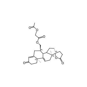 CC(=O)OCC(=O)OC[C@@H]1CC2=CC(=O)CC[C@]2(C)C2=CC[C@@]3(C)C(CC[C@@]34CCC(=O)O4)C21